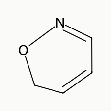 C1=CCON=C1